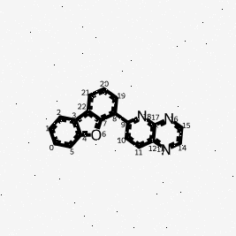 c1ccc2c(c1)oc1c(-c3ccc4nccnc4n3)cccc12